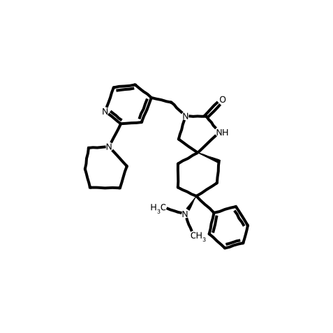 CN(C)[C@]1(c2ccccc2)CC[C@@]2(CC1)CN(Cc1ccnc(N3CCCCC3)c1)C(=O)N2